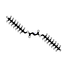 O=C(/C=C/C(=O)OCC(F)(F)C(F)(F)C(F)(F)C(F)(F)C(F)(F)C(F)(F)C(F)(F)F)OCC(F)(F)C(F)(F)C(F)(F)C(F)(F)C(F)(F)C(F)(F)C(F)(F)F